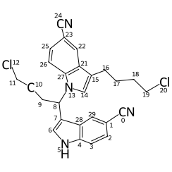 N#Cc1ccc2[nH]cc(C(CCCCl)n3cc(CCCCCl)c4cc(C#N)ccc43)c2c1